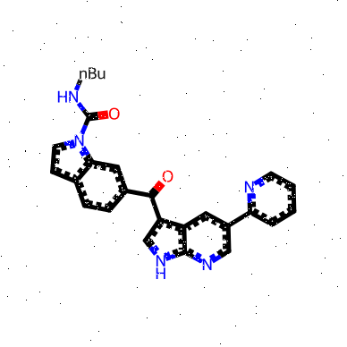 CCCCNC(=O)n1ccc2ccc(C(=O)c3c[nH]c4ncc(-c5ccccn5)cc34)cc21